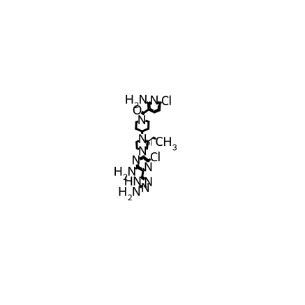 CC[C@H]1CN(c2nc(N)c(-c3nnc(N)[nH]3)nc2Cl)CCN1C1CCN(C(=O)c2ccc(Cl)nc2N)CC1